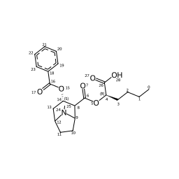 CCCC[C@@H](OC(=O)C1C2CCC(C[C@@H]1OC(=O)c1ccccc1)N2C)C(=O)O